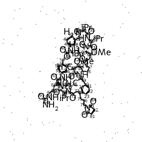 CC[C@H](C)[C@@H]([C@@H](CC(=O)N1CCC[C@H]1[C@H](OC)[C@@H](C)C(=O)N[C@@H](Cc1ccccc1)C(=O)O)OC)N(C)C(=O)[C@@H](NC(=O)[C@H](C(C)C)N(C)Cc1cccc(NC(=O)OCc2ccc(NC(=O)[C@H](CCCNC(N)=O)NC(=O)[C@@H](NC(=O)CCCCCN3C(=O)C=CC3=O)C(C)C)cc2)c1)C(C)C